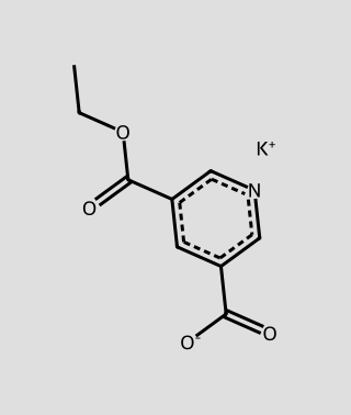 CCOC(=O)c1cncc(C(=O)[O-])c1.[K+]